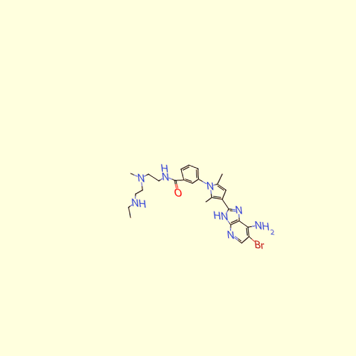 CCNCCN(C)CCNC(=O)c1cccc(-n2c(C)cc(-c3nc4c(N)c(Br)cnc4[nH]3)c2C)c1